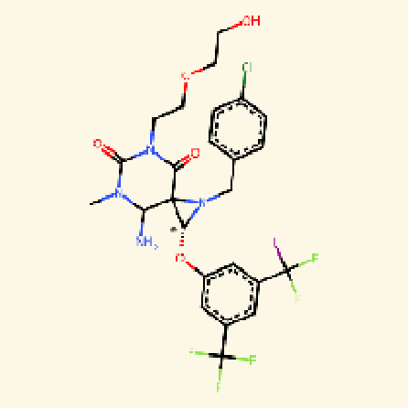 CN1C(=O)N(CCOCCO)C(=O)C2(C1N)[C@@H](Oc1cc(C(F)(F)F)cc(C(F)(F)I)c1)N2Cc1ccc(Cl)cc1